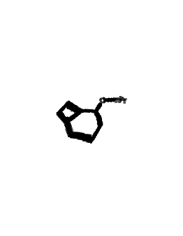 CCCOc1cccc2c1=CC=2